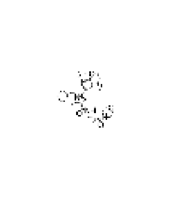 Cc1c(C(=O)NCC(C)(C)C(=O)N2CCOCC2)cc(-c2cc(C(C)(C)C)c3c(c2)C2(CCO3)CC2)n1CC1CCCCC1